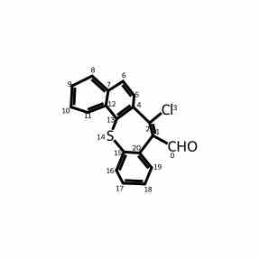 O=CC1=C(Cl)c2ccc3ccccc3c2Sc2ccccc21